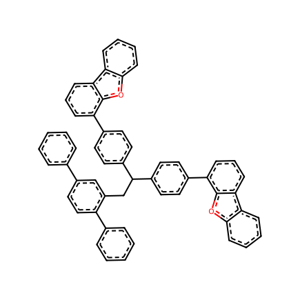 c1ccc(-c2ccc(-c3ccccc3)c(CC(c3ccc(-c4cccc5c4oc4ccccc45)cc3)c3ccc(-c4cccc5c4oc4ccccc45)cc3)c2)cc1